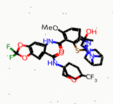 COc1ccc2nc(N3C4CC3CN(CC(C)(C)O)C4)sc2c1C(=O)Nc1cc2c(cc1C(=O)NC13CCC(C(F)(F)F)(CC1)OC3)OC(F)(F)O2